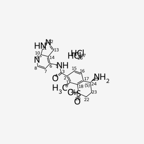 Cc1c(C(=O)Nc2ccnc3[nH]ncc23)ccc2c1S(=O)(=O)CC[C@@H]2N.Cl.Cl